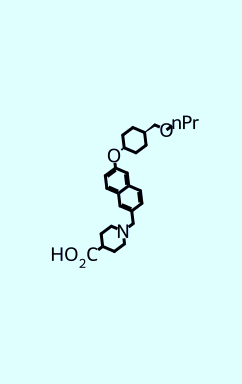 CCCOC[C@H]1CC[C@H](Oc2ccc3cc(CN4CCC(C(=O)O)CC4)ccc3c2)CC1